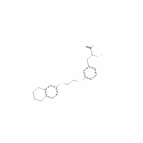 COC(Cc1cccc(OCCOc2ccc3c(c2)CCCC3)c1)C(=O)O